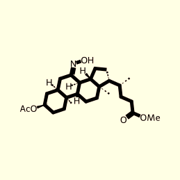 COC(=O)CC[C@@H](C)[C@H]1CC[C@H]2[C@@H]3/C(=N\O)C[C@@H]4C[C@H](OC(C)=O)CC[C@]4(C)[C@H]3CC[C@]12C